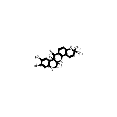 CC1(C)C=Cc2c(ccc3c2O[C@@H]2COc4cc(O)c(O)cc4[C@@H]2C3=O)O1